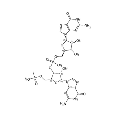 CP(=O)(O)OC[C@H]1O[C@@H](n2cnc3c(=O)[nH]c(N)nc32)[C@@H](O)C1OP(=O)(O)OC[C@H]1O[C@@H](n2cnc3c(=O)[nH]c(N)nc32)[C@@H](O)C1O